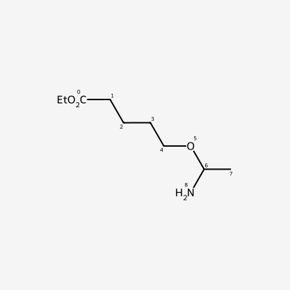 CCOC(=O)CCCCOC(C)N